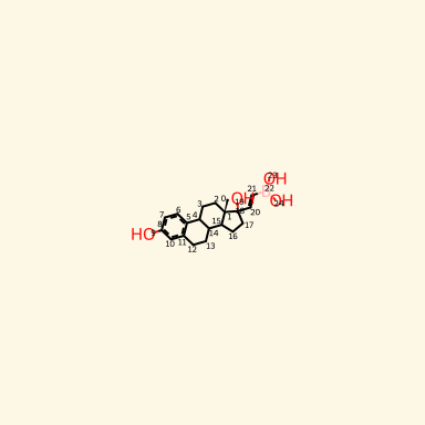 C[C@]12CCC3c4ccc(O)cc4CCC3C1CC[C@@]2(O)/C=C/B(O)O